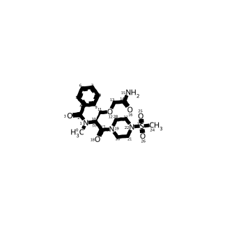 CN(C(=O)c1ccccc1)[C@@H](COCC(N)=O)C(=O)N1CCN(S(C)(=O)=O)CC1